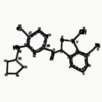 CCc1cccc2c1B(O)OC2Nc1ncc(Cl)c(NC2CCCC2)n1